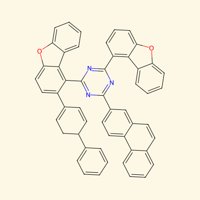 C1=CC(c2ccccc2)CC=C1c1ccc2oc3ccccc3c2c1-c1nc(-c2ccc3c(ccc4ccccc43)c2)nc(-c2cccc3oc4ccccc4c23)n1